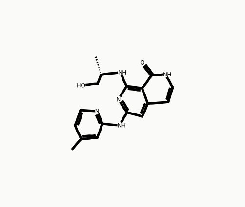 Cc1ccnc(Nc2cc3cc[nH]c(=O)c3c(N[C@@H](C)CO)n2)c1